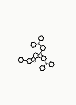 c1ccc(-c2ccc3sc4c(ccc5c4c4cc(N(c6ccccc6)c6ccccc6)ccc4n5-c4cccc(N(c5ccccc5)c5ccccc5)c4)c3c2)cc1